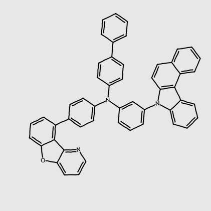 c1ccc(-c2ccc(N(c3ccc(-c4cccc5oc6cccnc6c45)cc3)c3cccc(-n4c5ccccc5c5c6ccccc6ccc54)c3)cc2)cc1